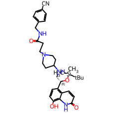 CC(C)(C)[Si](C)(C)O[C@@H](CNC1CCN(CCC(=O)NCc2ccc(C#N)cc2)CC1)c1ccc(O)c2[nH]c(=O)ccc12